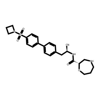 N#C[C@H](Cc1ccc(-c2ccc(S(=O)(=O)N3CCC3)cc2)cc1)NC(=O)[C@@H]1CNCCCO1